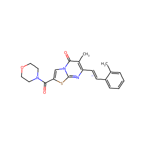 Cc1ccccc1/C=C/c1nc2sc(C(=O)N3CCOCC3)cn2c(=O)c1C